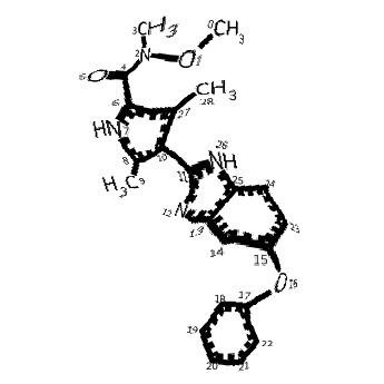 CON(C)C(=O)c1[nH]c(C)c(-c2nc3cc(Oc4ccccc4)ccc3[nH]2)c1C